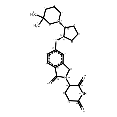 CC1(C)CCCN([C@H]2CCC[C@H]2Oc2ccc3c(c2)CN(C2CCC(=O)NC2=O)C3=O)C1